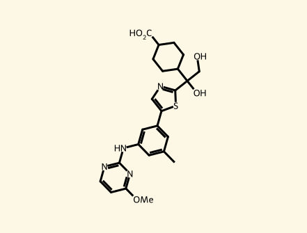 COc1ccnc(Nc2cc(C)cc(-c3cnc(C(O)(CO)C4CCC(C(=O)O)CC4)s3)c2)n1